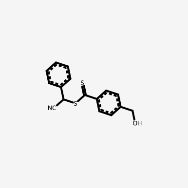 N#CC(SC(=S)c1ccc(CO)cc1)c1ccccc1